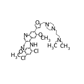 CCN(CC)CCCN1CCN(Cc2cc(-c3cc4ncc(C#N)c(Nc5cc(OC)c(Cl)cc5Cl)c4cc3OC)co2)CC1